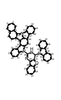 c1ccc2c(c1)ccc1c3c4c5ccccc5n(C5=Nc6c(oc7ccccc67)C(n6c7ccccc7c7ccccc76)N5)c4cc4c5ccccc5n(c21)c43